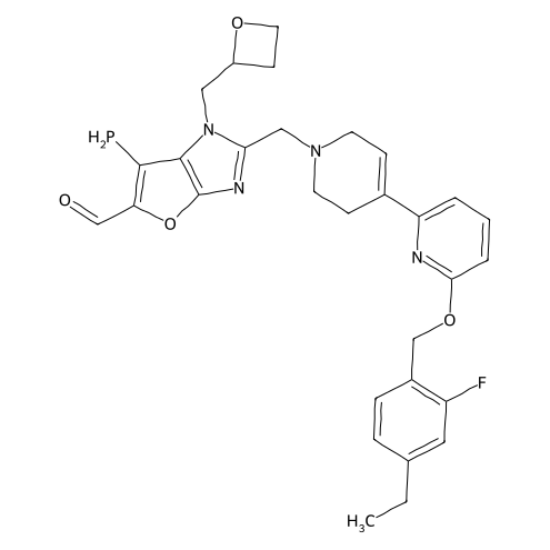 CCc1ccc(COc2cccc(C3=CCN(Cc4nc5oc(C=O)c(P)c5n4CC4CCO4)CC3)n2)c(F)c1